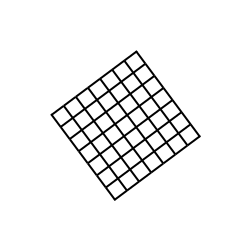 C1C2C3C4C5C6C7CC8C9C%10C%11C%12C%13CC%14C%15C%16C%17C%18C%19CC%20C%21C%22C%23C%24C1C21C32C43C54C65C78C96C%107C%118C%129C%13%14C%15%10C%16%11C%17%12C%18%13C%20%19C%21%14C%22%15C%23%16C%241C21C32C43C56C74C85C9%10C%116C%127C%14%13C%158C%161C21C34C56C871